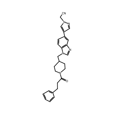 N#CCn1cc(-c2ccc3c(c2)ncn3CC2CCN(C(=O)CCc3ccccc3)CC2)cn1